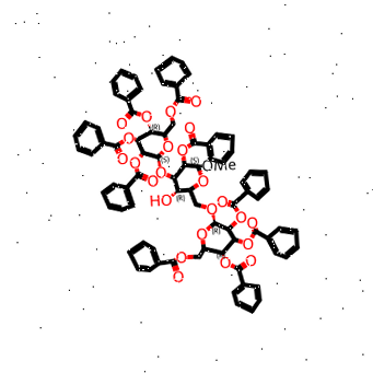 CO[C@H]1OC(CO[C@@H]2OC(COC(=O)c3ccccc3)[C@@H](OC(=O)c3ccccc3)C(OC(=O)c3ccccc3)C2OC(=O)c2ccccc2)[C@@H](O)C(O[C@@H]2OC(COC(=O)c3ccccc3)[C@@H](OC(=O)c3ccccc3)C(OC(=O)c3ccccc3)C2OC(=O)c2ccccc2)C1OC(=O)c1ccccc1